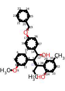 CC/C(=C(\c1cccc(OC)c1)C(O)c1ccc(OCc2ccccc2)cc1)c1cc(C)ccc1O